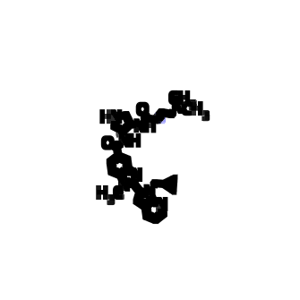 CN(C)C/C=C/C(=O)NC1CNC[C@H]1NC(=O)c1ccc2c(c1)nc(-c1cc3cccnc3n1CC1CC1)n2C